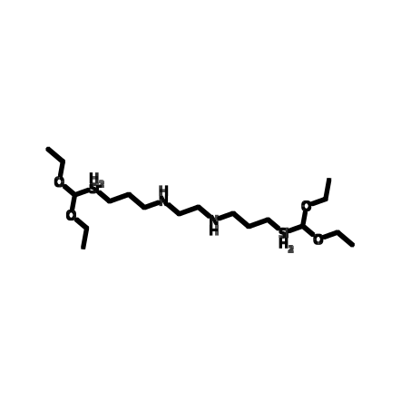 CCOC(OCC)[SiH2]CCCNCCNCCC[SiH2]C(OCC)OCC